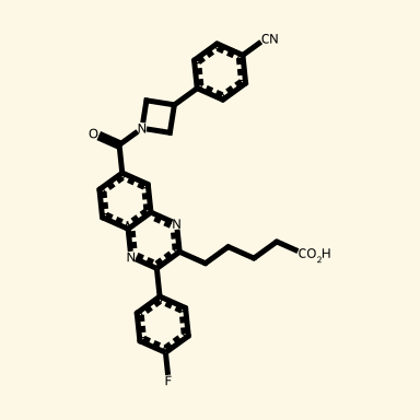 N#Cc1ccc(C2CN(C(=O)c3ccc4nc(-c5ccc(F)cc5)c(CCCCC(=O)O)nc4c3)C2)cc1